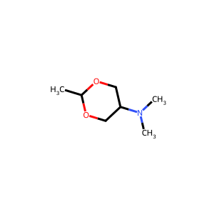 CC1OCC(N(C)C)CO1